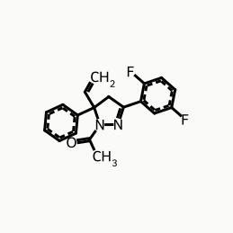 C=CC1(c2ccccc2)CC(c2cc(F)ccc2F)=NN1C(C)=O